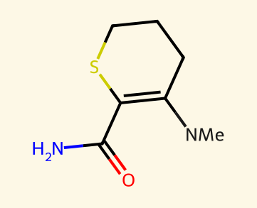 CNC1=C(C(N)=O)SCCC1